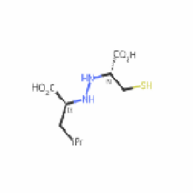 CC(C)C[C@H](NN[C@@H](CS)C(=O)O)C(=O)O